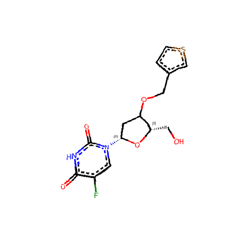 O=c1[nH]c(=O)n([C@@H]2CC(OCc3ccsc3)[C@H](CO)O2)cc1F